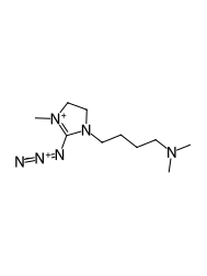 CN(C)CCCCN1CC[N+](C)=C1N=[N+]=[N-]